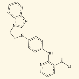 CCNc1cccnc1Nc1ccc(N2CCn3c2nc2ccccc23)cc1